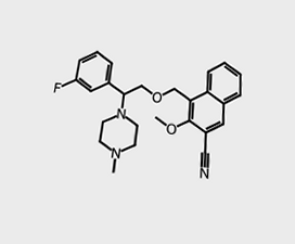 COc1c(C#N)cc2ccccc2c1COCC(c1cccc(F)c1)N1CCN(C)CC1